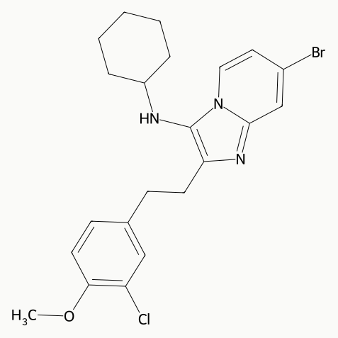 COc1ccc(CCc2nc3cc(Br)ccn3c2NC2CCCCC2)cc1Cl